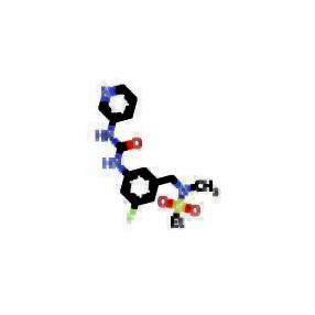 CCS(=O)(=O)N(C)Cc1cc(F)cc(NC(=O)Nc2cccnc2)c1